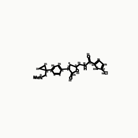 CNCC1(c2ccc(N3CC(CNC(=O)c4ccc(Cl)s4)OC3=O)cc2)CC1